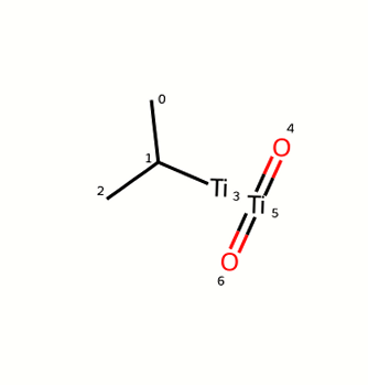 C[CH](C)[Ti].[O]=[Ti]=[O]